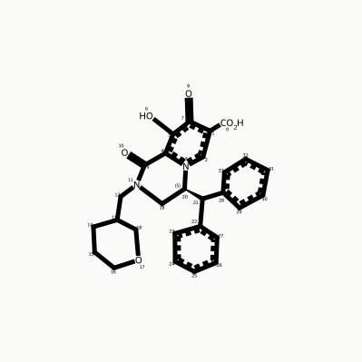 O=C(O)c1cn2c(c(O)c1=O)C(=O)N(CC1CCCOC1)C[C@@H]2C(c1ccccc1)c1ccccc1